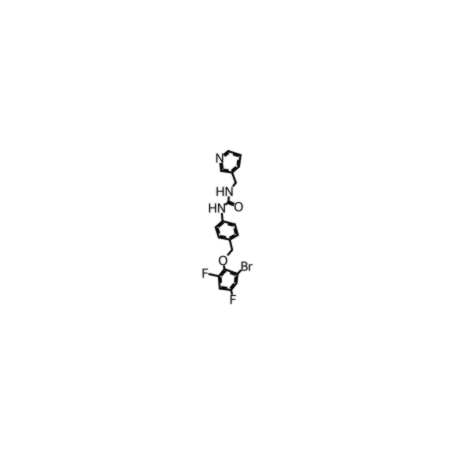 O=C(NCc1cccnc1)Nc1ccc(COc2c(F)cc(F)cc2Br)cc1